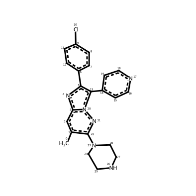 Cc1cc2nc(-c3ccc(Cl)cc3)c(-c3ccncc3)n2nc1N1CCNCC1